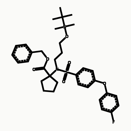 CC(C)(C)[Si](C)(C)OCCCN(C1(C(=O)OCc2ccccc2)CCCC1)S(=O)(=O)c1ccc(Oc2ccc(F)cc2)cc1